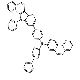 c1ccc(-c2ccc(N(c3ccc(-c4ccc5c6ccc7ccccc7c6n(-c6ccccc6)c5c4)cc3)c3ccc4c(ccc5ccccc54)c3)cc2)cc1